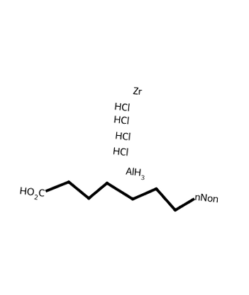 CCCCCCCCCCCCCCCC(=O)O.Cl.Cl.Cl.Cl.[AlH3].[Zr]